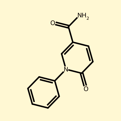 NC(=O)c1ccc(=O)n(-c2ccccc2)c1